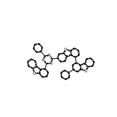 c1ccc(-c2cc(-c3cccc4oc5cc(-c6nc(-c7ccccc7)nc(-c7cccc8oc9ccccc9c78)n6)ccc5c34)c3c(c2)oc2ccccc23)cc1